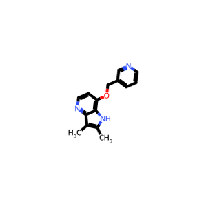 Cc1[nH]c2c(OCc3cccnc3)ccnc2c1C